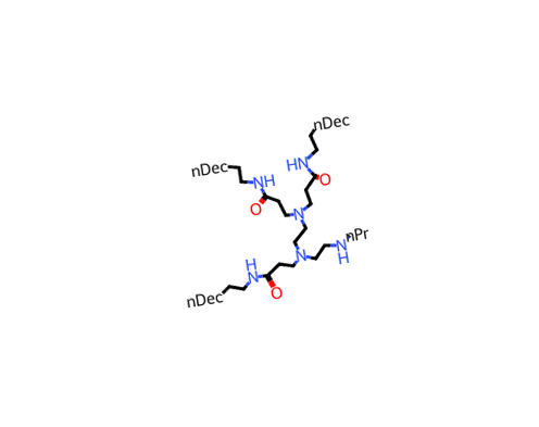 CCCCCCCCCCCCNC(=O)CCN(CCNCCC)CCN(CCC(=O)NCCCCCCCCCCCC)CCC(=O)NCCCCCCCCCCCC